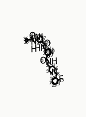 O=C(NCC1CCN(Cc2ccccc2F)CC1)c1cncc(NC(=O)c2ccnc(NC(=O)C3CC3)c2)c1